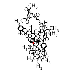 C=CC(=O)N1CN(C(=O)C=C)CN(C(=O)CCSCC(=O)NC(C(=O)NCC(=O)Nc2ccc(COC(=O)N(C)C(C(=O)NCC(=O)N(C)[C@@H]([C@@H](C)CC)[C@@H](CC(=O)N3CCC[C@H]3[C@H](OC)[C@@H](C)C(=O)N[C@@H](Cc3ccccc3)C(=O)O)OC)C(C)C)cc2)C(C)C)C1